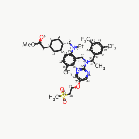 CCN(C[C@H]1CC[C@H](CC(=O)OC)CC1)c1ccc(C(F)(F)F)cc1CN(c1ncc(OCCS(C)(=O)=O)cn1)[C@H](C)c1cc(C(F)(F)F)cc(C(F)(F)F)c1